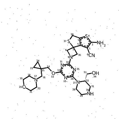 N#Cc1c(N)sc2c1C1(CN(c3nc(OCC4(CN5CCOCC5)CC4)nc(N4CCNC[C@H]4CO)n3)C1)SC2